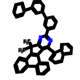 CC1(C)c2nc(-c3cccc(-c4cccc(-c5ccccc5)c4)c3)nc(-c3cccc4ccccc34)c2-c2c1c1ccccc1c1ccccc21